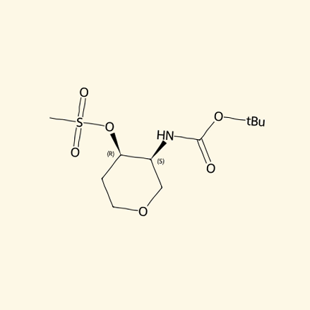 CC(C)(C)OC(=O)N[C@H]1COCC[C@H]1OS(C)(=O)=O